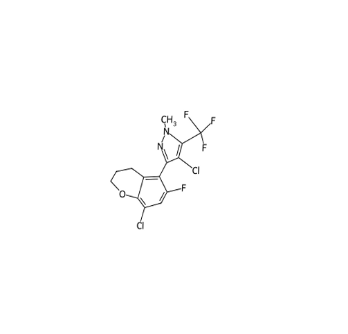 Cn1nc(-c2c(F)cc(Cl)c3c2CCCO3)c(Cl)c1C(F)(F)F